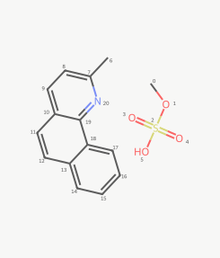 COS(=O)(=O)O.Cc1ccc2ccc3ccccc3c2n1